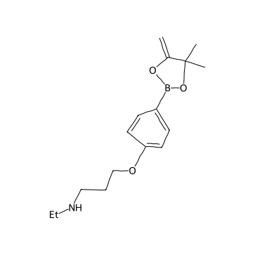 C=C1OB(c2ccc(OCCCNCC)cc2)OC1(C)C